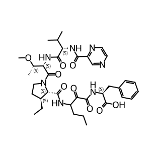 CCCC(NC(=O)[C@@H]1[C@@H](CC)CCN1C(=O)[C@@H](NC(=O)[C@@H](NC(=O)c1cnccn1)C(C)C)[C@H](C)OC)C(=O)C(=O)N[C@@H](Cc1ccccc1)C(=O)O